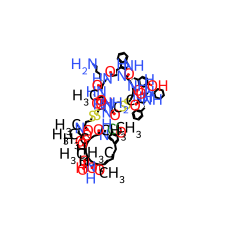 COc1cc2cc(c1Cl)N(C)C(=O)C[C@H](OC(=O)[C@H](C)N(C)C(=O)CCSSC[C@H](NC(=O)[C@@H]1CSSC[C@H](NC(=O)[C@@H](Cc3ccccc3)NC(=O)NC3CCCCC3)C(=O)N[C@@H](Cc3ccc(O)cc3)C(=O)N[C@H](Cc3c[nH]c4ccccc34)C(=O)N[C@@H](CCCCN)C(=O)N[C@@H]([C@@H](C)O)C(=O)N1)C(N)=O)[C@]1(C)O[C@H]1[C@H](C)[C@@H]1C[C@@](O)(NC(=O)O1)[C@H](OC)/C=C/C=C(\C)C2